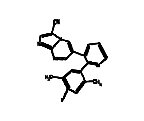 Cc1cc(-c2ncccc2-c2ccc3ncc(C#N)n3c2)c(C)cc1F